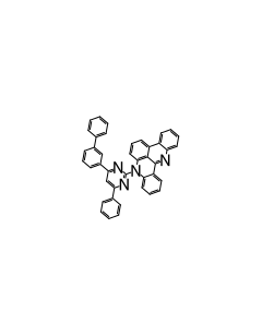 c1ccc(-c2cccc(-c3cc(-c4ccccc4)nc(N4c5ccccc5-c5nc6ccccc6c6cccc4c56)n3)c2)cc1